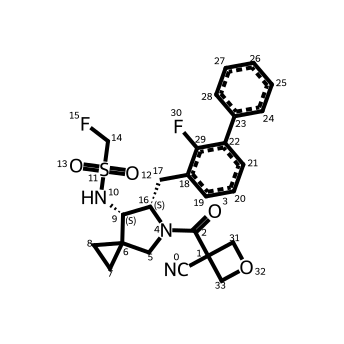 N#CC1(C(=O)N2CC3(CC3)[C@H](NS(=O)(=O)CF)[C@@H]2Cc2cccc(-c3ccccc3)c2F)COC1